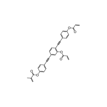 C=CC(=O)Oc1ccc(C#Cc2ccc(C#Cc3ccc(OC(=O)C(=C)C)cc3)cc2OC(=O)C=C)cc1